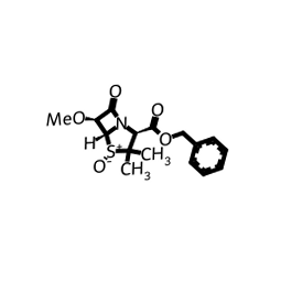 CO[C@H]1C(=O)N2[C@@H]1[S+]([O-])C(C)(C)[C@@H]2C(=O)OCc1ccccc1